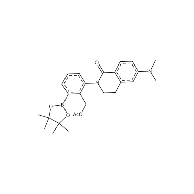 CC(=O)OCc1c(B2OC(C)(C)C(C)(C)O2)cccc1N1CCc2cc(N(C)C)ccc2C1=O